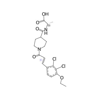 CCOc1ccc(/C=C/C(=O)N2CCC(C(=O)N[C@@H](C)C(=O)O)CC2)c(Cl)c1Cl